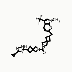 Cn1cc(C(F)(F)F)c2ccc(CC3CC4(C3)CN(C(=O)N3CC5(CC(c6nc(C7CC7)n[nH]6)C5)C3)C4)nc21